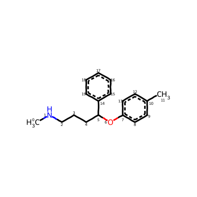 CNCCCC(Oc1ccc(C)cc1)c1ccccc1